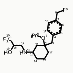 CC(C)OC1(Cc2ccc(CF)cc2)CCCC(NCC(O)C(F)(F)F)C1